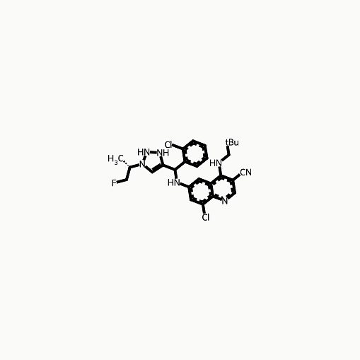 C[C@@H](CF)N1C=C(C(Nc2cc(Cl)c3ncc(C#N)c(NCC(C)(C)C)c3c2)c2ccccc2Cl)NN1